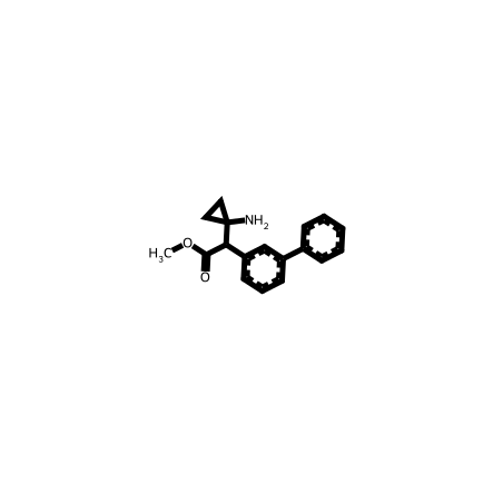 COC(=O)C(c1cccc(-c2ccccc2)c1)C1(N)CC1